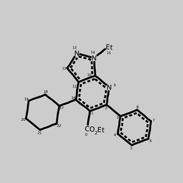 CCOC(=O)c1c(-c2ccccc2)nc2c(cnn2CC)c1C1CCCCC1